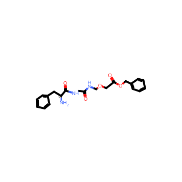 N[C@@H](Cc1ccccc1)C(=O)NCC(=O)NCOCC(=O)OCc1ccccc1